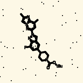 Cc1cn2nc(-n3cc4cc(C5CCN(C(=O)OC(C)(C)C)CC5)cc(F)c4n3)cc(C)c2n1